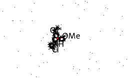 COc1cccc(C23CCN(C(=O)C4CC4)CC2Cc2c([nH]c4c(Cl)cccc24)C3)c1